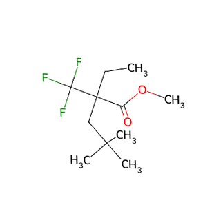 CCC(CC(C)(C)C)(C(=O)OC)C(F)(F)F